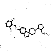 O=C(O)OC1CCCC1N1CCC2(CC1)COc1cc(OCc3c(Cl)cccc3Cl)ccc12